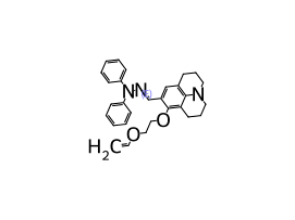 C=COCCOc1c(/C=N/N(c2ccccc2)c2ccccc2)cc2c3c1CCCN3CCC2